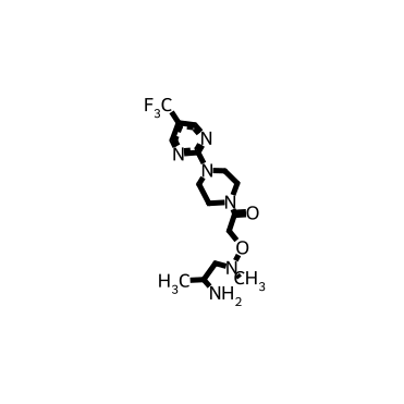 CC(N)CN(C)OCC(=O)N1CCN(c2ncc(C(F)(F)F)cn2)CC1